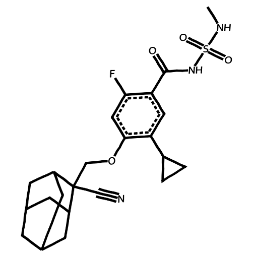 CNS(=O)(=O)NC(=O)c1cc(C2CC2)c(OCC2(C#N)C3CC4CC(C3)CC2C4)cc1F